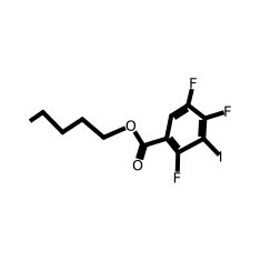 CCCCCOC(=O)c1cc(F)c(F)c(I)c1F